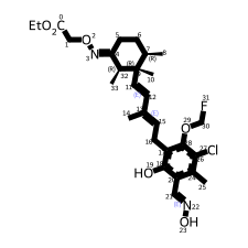 CCOC(=O)CON=C1CC[C@@H](C)[C@](C)(/C=C/C(C)=C/Cc2c(O)c(/C=N/O)c(C)c(Cl)c2OCF)[C@H]1C